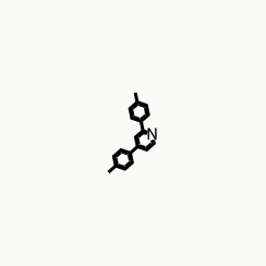 Cc1ccc(-c2ccnc(-c3ccc(C)cc3)c2)cc1